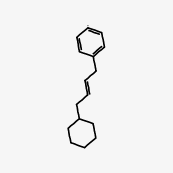 [c]1ccc(CC=CCC2CCCCC2)cc1